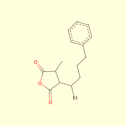 CCC(CCCc1ccccc1)C1C(=O)OC(=O)C1C